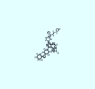 COCC=CC(=O)N1CCC(n2nc(-c3ccc(Oc4ccccc4)cc3)c3c(N)ncnc32)C1